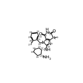 Cn1c(=O)[nH]c(=O)c2c1nc(N[C@H]1CCCC[C@H]1N)n2Cc1ccccc1I